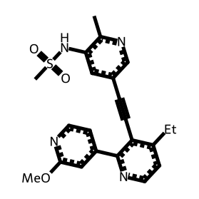 CCc1ccnc(-c2ccnc(OC)c2)c1C#Cc1cnc(C)c(NS(C)(=O)=O)c1